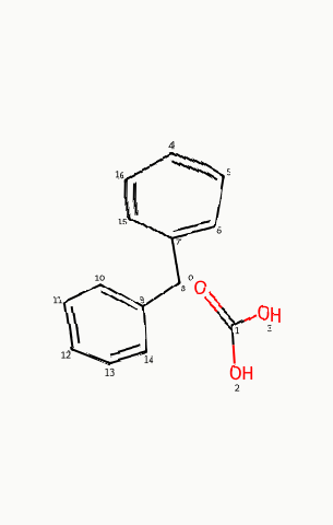 O=C(O)O.c1ccc(Cc2ccccc2)cc1